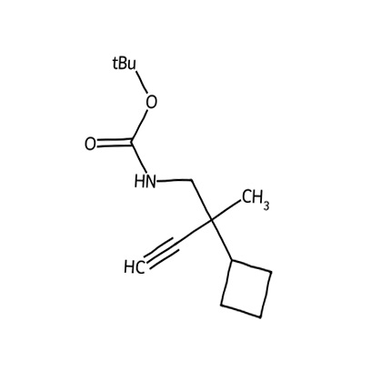 C#CC(C)(CNC(=O)OC(C)(C)C)C1CCC1